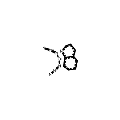 [N-]=[N+]=[N][Cu][N]=[N+]=[N-].c1ccc2ncccc2c1